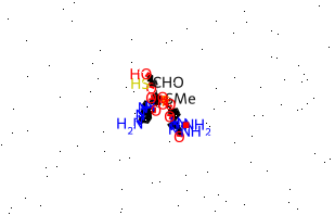 CSP(=O)(OC[C@@H]1CC[C@H](n2cnc3c(=O)[nH]c(N)nc32)O1)OC1C(C)[C@H](n2cnc3nc(N)ccc3c2=O)O[C@@H]1CO/C(C=O)=C(\S)CO